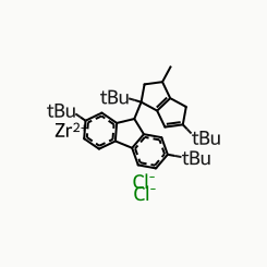 CC1CC(C2c3cc(C(C)(C)C)ccc3-c3ccc(C(C)(C)C)cc32)(C(C)(C)C)C2=C1CC(C(C)(C)C)=C2.[Cl-].[Cl-].[Zr+2]